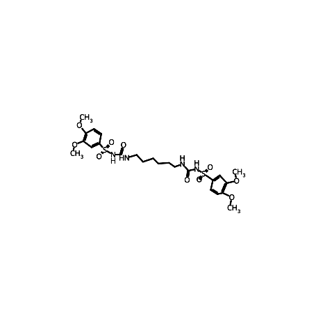 COc1ccc(S(=O)(=O)NC(=O)NCCCCCCNC(=O)NS(=O)(=O)c2ccc(OC)c(OC)c2)cc1OC